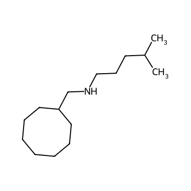 CC(C)CCCNCC1CCCCCCC1